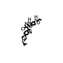 C=CC(=O)Nc1ccc(OC)c(Nc2ncc(Cl)c(-c3cn(C)c4cc(N5CCN(CC6CC6)CC5)ccc34)n2)c1